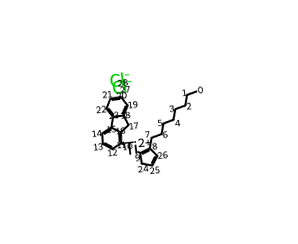 CCCCCCCCC1=[C]([Ti+2][c]2cccc3c2Cc2ccccc2-3)CC=C1.[Cl-].[Cl-]